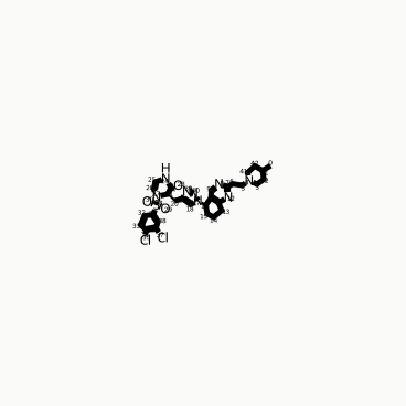 CC1CCN(CCc2ncc3c(n2)CCC[C@H]3n2cc(C[C@@H]3C(=O)NC=CN3S(=O)(=O)c3ccc(Cl)c(Cl)c3)nn2)CC1